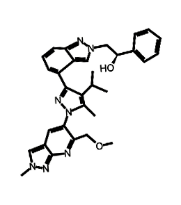 COCc1nc2nn(C)cc2cc1-n1nc(-c2cccc3nn(C[C@H](O)c4ccccc4)cc23)c(C(C)C)c1C